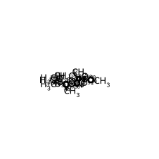 Cc1ccc(S(=O)(=O)n2cc(C(C)C)c3nc(Cc4c(C)cc(B5OC(C)(C)C(C)(C)O5)cc4C)cnc32)cc1